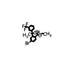 CCOC(=O)c1ccc(Br)cc1C(C)(C)c1cccc(C(F)(F)F)c1